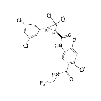 O=C(NCC(F)(F)F)c1cc(NC(=O)[C@H]2[C@H](c3cc(Cl)cc(Cl)c3)C2(Cl)Cl)c(Cl)cc1Cl